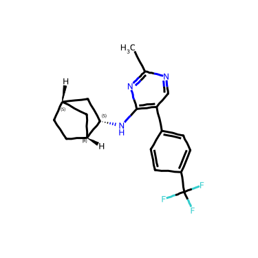 Cc1ncc(-c2ccc(C(F)(F)F)cc2)c(N[C@H]2C[C@H]3CC[C@@H]2C3)n1